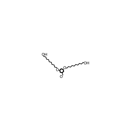 O=Cc1cc(OCCCCCCCCCCO)cc(OCCCCCCCCCCO)c1